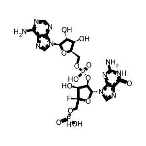 Nc1nc2c(ncn2[C@@H]2O[C@](F)(CO[PH](=O)O)[C@@H](O)[C@H]2OP(=O)(O)OC[C@H]2O[C@@H](n3cnc4c(N)ncnc43)[C@H](O)[C@@H]2O)c(=O)[nH]1